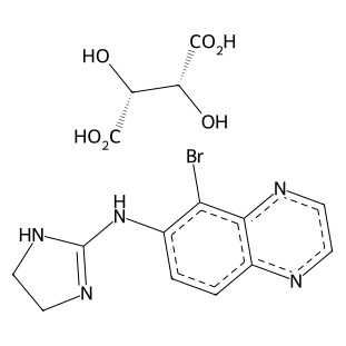 Brc1c(NC2=NCCN2)ccc2nccnc12.O=C(O)[C@H](O)[C@@H](O)C(=O)O